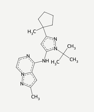 Cc1cc2c(Nc3cc(C4(C)CCCC4)nn3C(C)(C)C)nccn2n1